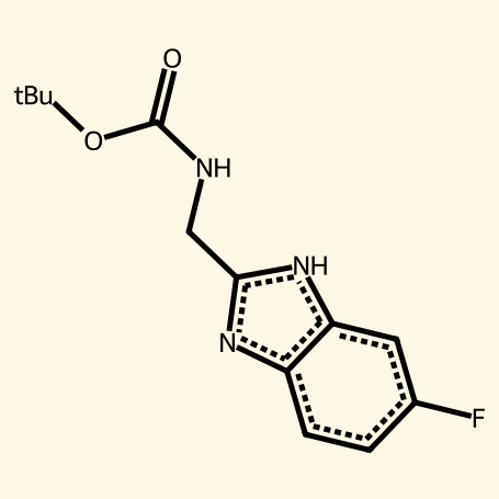 CC(C)(C)OC(=O)NCc1nc2ccc(F)cc2[nH]1